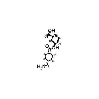 NC[C@H]1CC[C@H](C(=O)Nc2ccnc(C(=O)O)c2)CC1